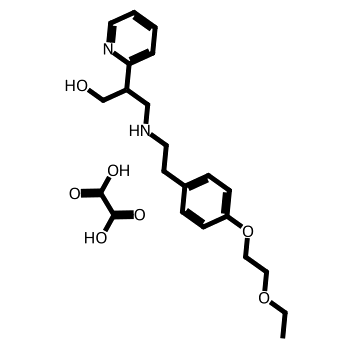 CCOCCOc1ccc(CCNCC(CO)c2ccccn2)cc1.O=C(O)C(=O)O